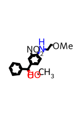 CO.COCCNc1ccc(C(=O)c2ccccc2)cc1[N+](=O)[O-]